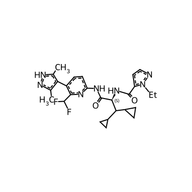 CCn1nccc1C(=O)N[C@H](C(=O)Nc1ccc(-c2c(C)n[nH]c2C)c(C(F)F)n1)C(C1CC1)C1CC1